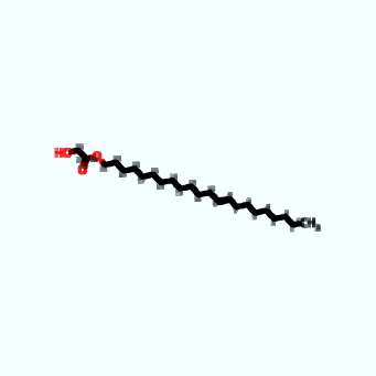 CCCCCCCCC=CCCCCCCCCCCCCOC(=O)CO